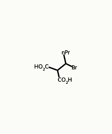 CCCC(Br)C(C(=O)O)C(=O)O